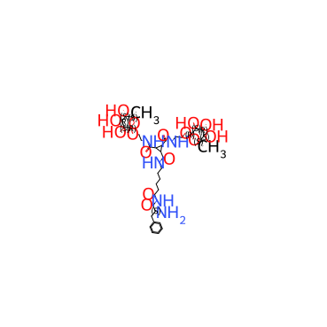 C[C@@H]1O[C@@H](OCCNC(=O)C2C(C(=O)NCCCCCC(=O)NC(=O)[C@@H](N)Cc3ccccc3)C2C(=O)NCCO[C@@H]2O[C@@H](C)[C@@H](O)[C@@H](O)[C@@H]2O)[C@@H](O)[C@H](O)[C@@H]1O